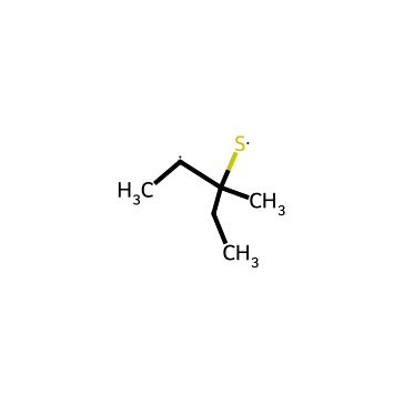 C[CH]C(C)([S])CC